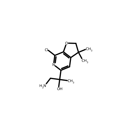 CC1(C)COc2c1cc(C(C)(O)CN)nc2Cl